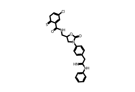 N=C(Cc1ccc(N2CC(CNC(=O)C3=CC(Cl)=CCC3=S)OC2=O)cc1)Nc1ccccc1